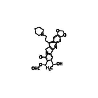 CC(O)c1cc2n(c(=O)c1COC=O)Cc1c-2nc2cc3c(cc2c1CCN1CCCCC1)OCO3